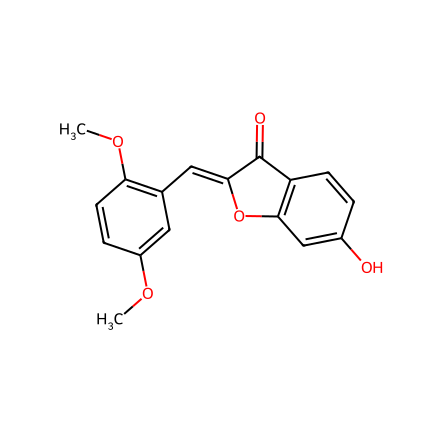 COc1ccc(OC)c(/C=C2\Oc3cc(O)ccc3C2=O)c1